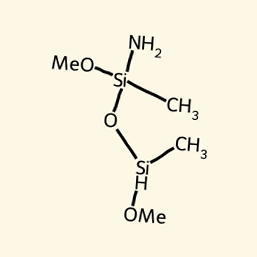 CO[SiH](C)O[Si](C)(N)OC